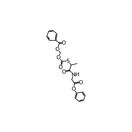 CC(SC(=O)OCOC(=O)c1ccccc1)C(=O)NCC(=O)Oc1ccccc1